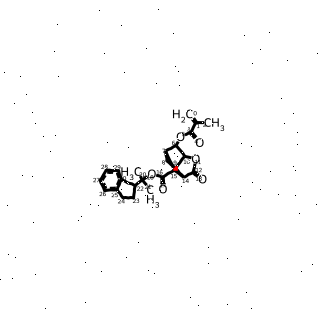 C=C(C)C(=O)OC1C2CC3C1OC(=O)C3C2C(=O)OC(C)(C)C1CCc2ccccc21